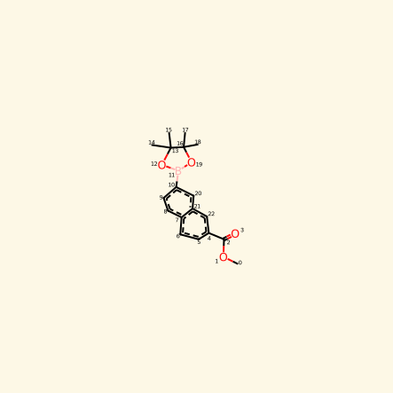 COC(=O)c1ccc2ccc(B3OC(C)(C)C(C)(C)O3)cc2c1